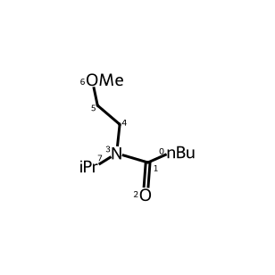 CCCCC(=O)N(CCOC)C(C)C